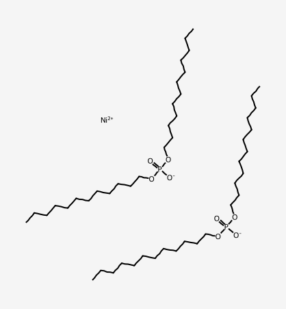 CCCCCCCCCCCCOP(=O)([O-])OCCCCCCCCCCCC.CCCCCCCCCCCCOP(=O)([O-])OCCCCCCCCCCCC.[Ni+2]